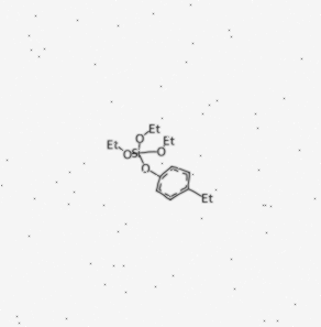 CCO[Si](OCC)(OCC)Oc1ccc(CC)cc1